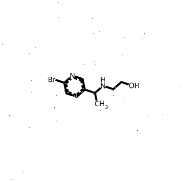 CC(NCCO)c1ccc(Br)nc1